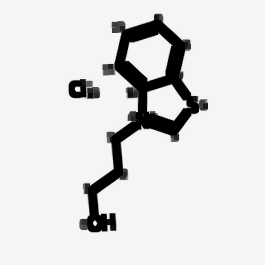 OCCC[n+]1csc2ccccc21.[Cl-]